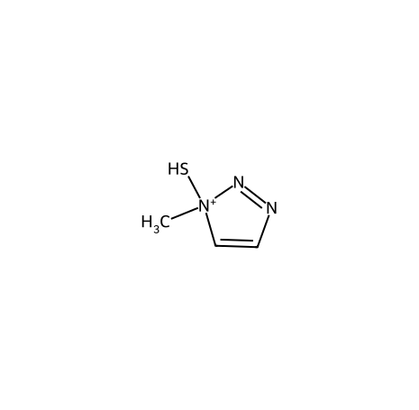 C[N+]1(S)C=CN=N1